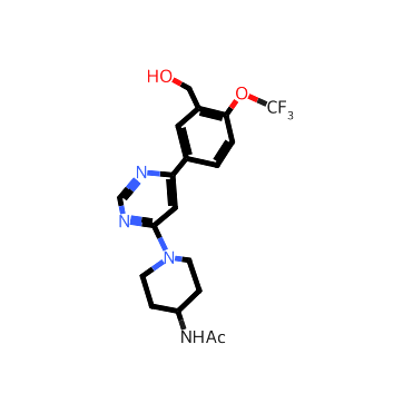 CC(=O)NC1CCN(c2cc(-c3ccc(OC(F)(F)F)c(CO)c3)ncn2)CC1